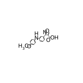 COc1ccc(Nc2cccc(-c3nocc3C(=O)O)c2)cc1